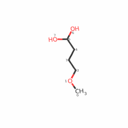 COCCCC(O)O